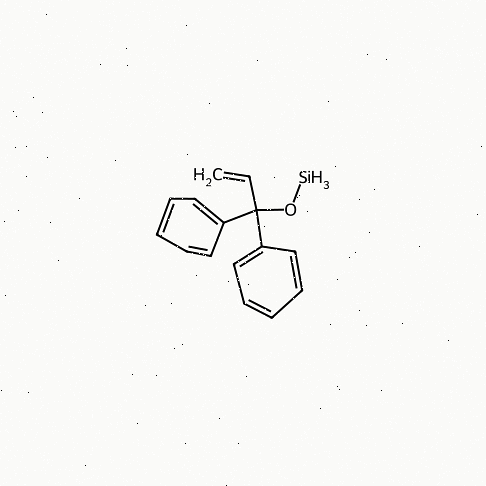 C=CC(O[SiH3])(c1ccccc1)c1ccccc1